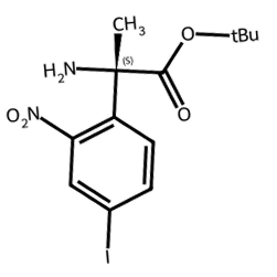 CC(C)(C)OC(=O)[C@@](C)(N)c1ccc(I)cc1[N+](=O)[O-]